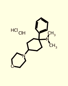 CN(C)C1(c2ccccc2)CCC(N2CCOCC2)CC1.Cl.Cl